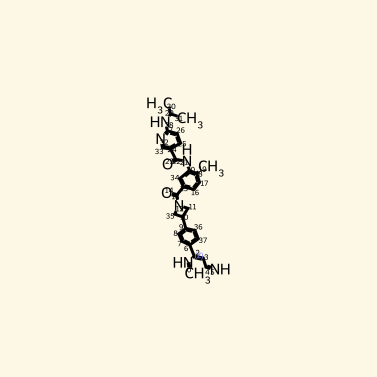 CN/C(=C\C=N)c1ccc(C2CN(C(=O)c3ccc(C)c(NC(=O)c4ccc(NC(C)C)nc4)c3)C2)cc1